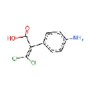 Nc1ccc(C(C(=O)O)=C(Cl)Cl)cc1